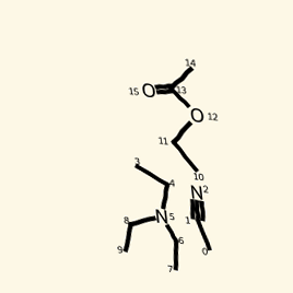 CC#N.CCN(CC)CC.CCOC(C)=O